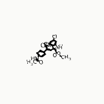 CCOC(=O)c1[nH]c2cc(Cl)cc(Cl)c2c1/C=C(\C(=O)O)c1ccc(NC(C)=O)cc1